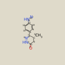 C[C@@H]1CC(=O)NN=C1c1ccc(N[N])cc1